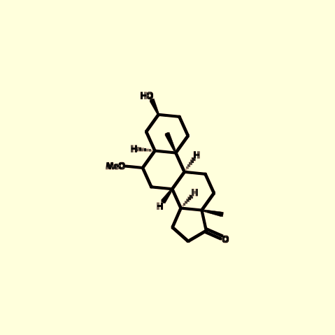 COC1C[C@@H]2[C@H](CC[C@]3(C)C(=O)CC[C@@H]23)[C@@]2(C)CC[C@H](O)C[C@H]12